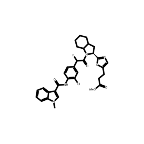 COC(=O)CCc1cnc([C@@H]2CC3CCCCC3N2C(=O)C(F)c2ccc(NC(=O)c3cn(C)c4ccccc34)c(Cl)c2)s1